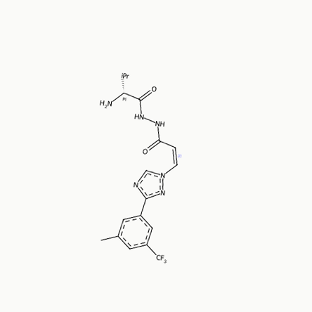 Cc1cc(-c2ncn(/C=C\C(=O)NNC(=O)[C@H](N)C(C)C)n2)cc(C(F)(F)F)c1